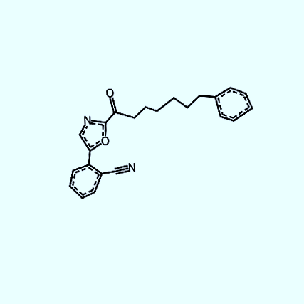 N#Cc1ccccc1-c1cnc(C(=O)CCCCCCc2ccccc2)o1